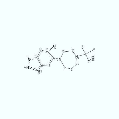 CC1(N2CCCN(c3cc4[nH]ncc4cc3Cl)CC2)COC1